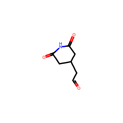 O=CCC1CC(=O)NC(=O)C1